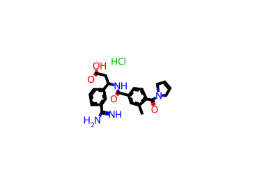 Cc1cc(C(=O)NC(CC(=O)O)c2cccc(C(=N)N)c2)ccc1C(=O)N1CC=CC1.Cl